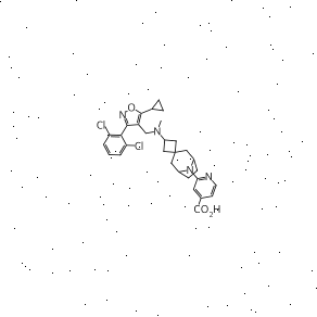 CN(Cc1c(-c2c(Cl)cccc2Cl)noc1C1CC1)C1CC2(C1)CC1CCC(C2)N1c1cc(C(=O)O)ccn1